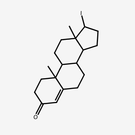 CC12CCC(=O)C=C1CCC1C2CCC2(C)C(I)CCC12